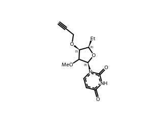 C#CCO[C@@H]1C(OC)[C@H](n2ccc(=O)[nH]c2=O)O[C@@H]1CC